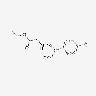 CCOC(=O)CNC=C(C=O)c1ccc(Cl)cc1